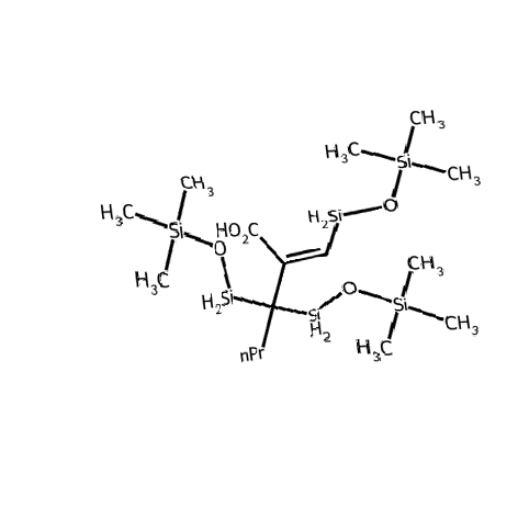 CCCC([SiH2]O[Si](C)(C)C)([SiH2]O[Si](C)(C)C)C(=C[SiH2]O[Si](C)(C)C)C(=O)O